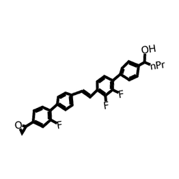 CCCC(O)c1ccc(-c2ccc(/C=C/c3ccc(-c4ccc(C5CO5)cc4F)cc3)c(F)c2F)cc1